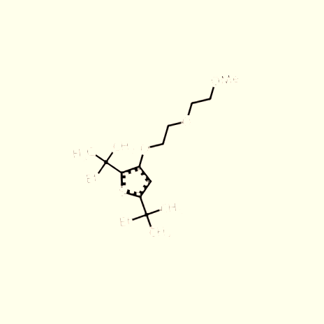 CCC(C)(C)c1cc(OCCOCCOC)c(C(C)(C)CC)s1